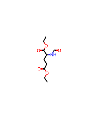 CCOC(=O)CCC(NC=O)C(=O)OCC